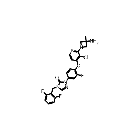 CC1(N)CN(c2nccc(Oc3ccc(-n4ncn(Cc5c(F)cccc5F)c4=O)cc3F)c2Cl)C1